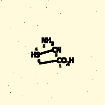 CC(=O)O.N.N#CS